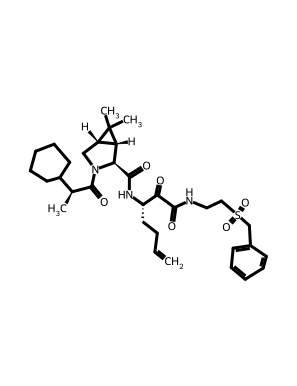 C=CCC[C@H](NC(=O)[C@@H]1[C@@H]2[C@H](CN1C(=O)[C@@H](C)C1CCCCC1)C2(C)C)C(=O)C(=O)NCCS(=O)(=O)Cc1ccccc1